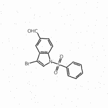 O=Cc1ccc2c(c1)c(Br)cn2S(=O)(=O)c1ccccc1